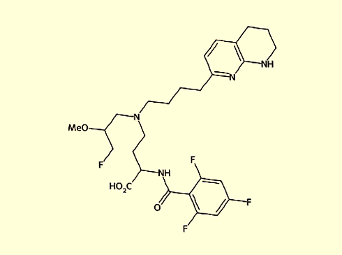 COC(CF)CN(CCCCc1ccc2c(n1)NCCC2)CCC(NC(=O)c1c(F)cc(F)cc1F)C(=O)O